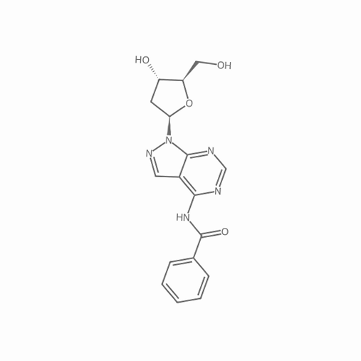 O=C(Nc1ncnc2c1cnn2[C@H]1C[C@H](O)[C@@H](CO)O1)c1ccccc1